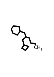 CCCCC(CC1CCCCC1)CC1CCC1